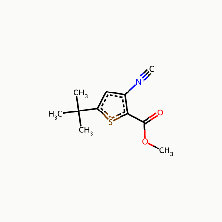 [C-]#[N+]c1cc(C(C)(C)C)sc1C(=O)OC